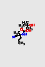 CC(C)(C)O.CCCC(C)(C#N)NC(=O)O